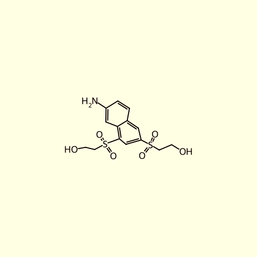 Nc1ccc2cc(S(=O)(=O)CCO)cc(S(=O)(=O)CCO)c2c1